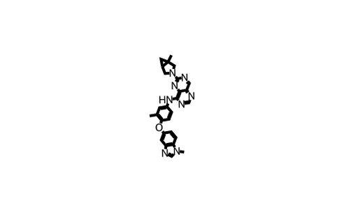 Cc1cc(Nc2ncnc3cnc(N4CC5CC5(C)C4)nc23)ccc1Oc1ccc2c(c1)ncn2C